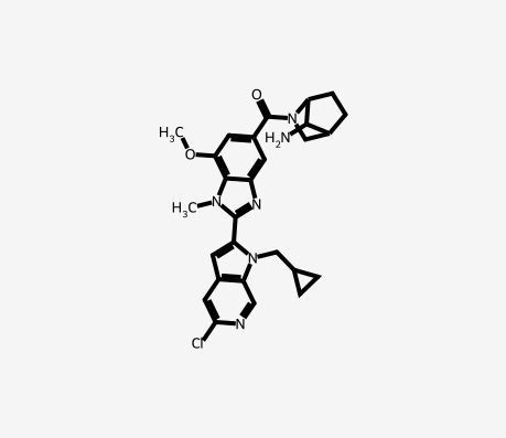 COc1cc(C(=O)N2CC3CCC2C3N)cc2nc(-c3cc4cc(Cl)ncc4n3CC3CC3)n(C)c12